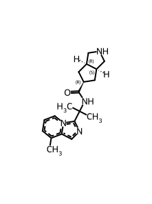 Cc1cccn2c(C(C)(C)NC(=O)[C@H]3C[C@H]4CNC[C@H]4C3)ncc12